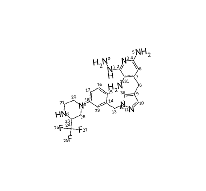 NNc1nc(N)cc(Cc2cnn(Cc3cccc(N4CCNC(C(F)(F)F)C4)c3)c2)c1N